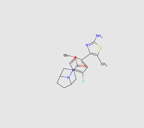 Cc1sc(N)nc1-c1ccc(N2C3CCC2CN(C(=O)OC(C)(C)C)C3)c(F)c1